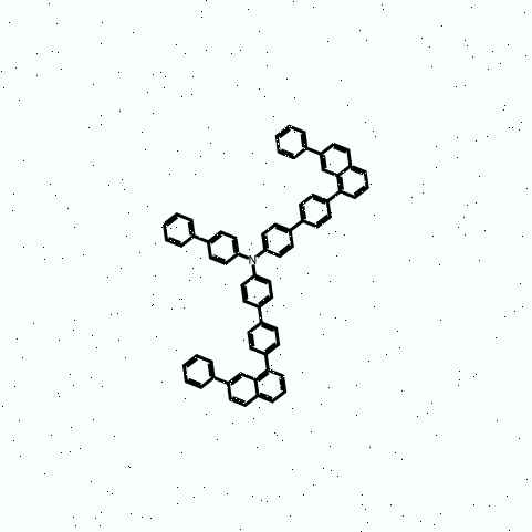 c1ccc(-c2ccc(N(c3ccc(-c4ccc(-c5cccc6ccc(-c7ccccc7)cc56)cc4)cc3)c3ccc(-c4ccc(-c5cccc6ccc(-c7ccccc7)cc56)cc4)cc3)cc2)cc1